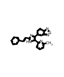 Cc1cccc(-c2[nH]c(/C=C/c3ccccc3)nc2-c2ccc3nsnc3c2)n1